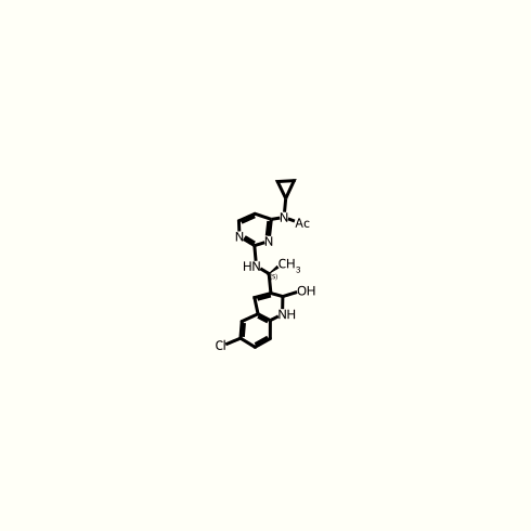 CC(=O)N(c1ccnc(N[C@@H](C)C2=Cc3cc(Cl)ccc3NC2O)n1)C1CC1